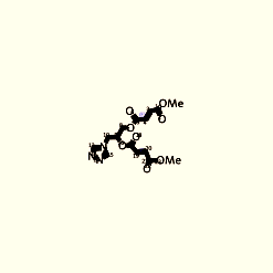 COC(=O)/C=C/C(=O)OCC(Cn1cnnc1)OC(=O)/C=C/C(=O)OC